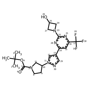 CC(C)(C)OC(=O)N1CCC(n2cc(-c3cc(C(F)(F)F)nc(N4CC(O)C4)n3)cn2)C1